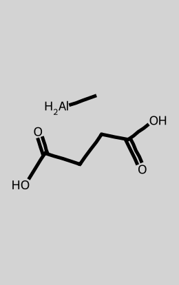 O=C(O)CCC(=O)O.[CH3][AlH2]